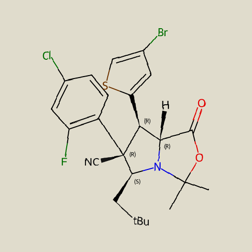 CC(C)(C)C[C@@H]1N2[C@@H](C(=O)OC2(C)C)[C@H](c2cc(Br)cs2)[C@@]1(C#N)c1ccc(Cl)cc1F